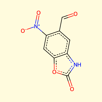 O=Cc1cc2[nH]c(=O)oc2cc1[N+](=O)[O-]